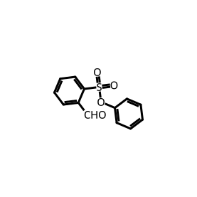 O=Cc1ccccc1S(=O)(=O)Oc1ccccc1